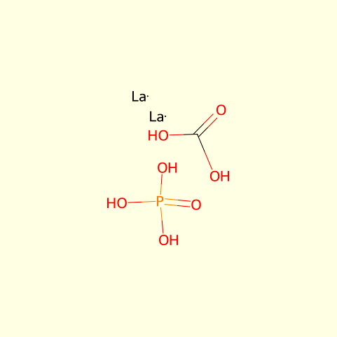 O=C(O)O.O=P(O)(O)O.[La].[La]